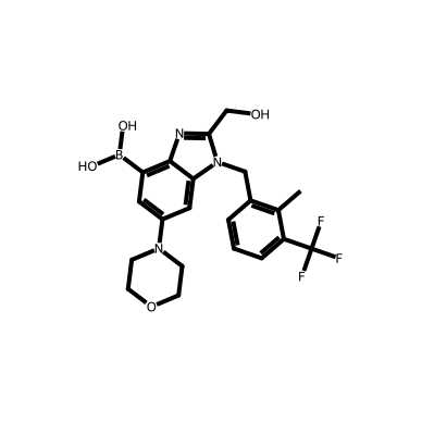 Cc1c(Cn2c(CO)nc3c(B(O)O)cc(N4CCOCC4)cc32)cccc1C(F)(F)F